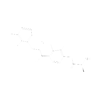 C[C@H](N)C(=O)Oc1ccc(C(=O)[C@@H](N)Cc2cccc(Cl)c2Cl)c(Cl)c1Cl